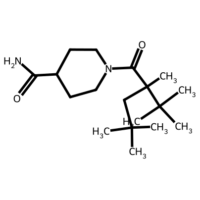 CC(C)(C)CC(C)(C(=O)N1CCC(C(N)=O)CC1)C(C)(C)C